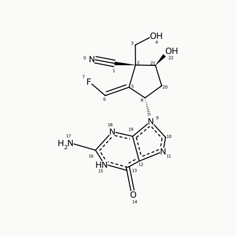 N#C[C@]1(CO)/C(=C\F)[C@@H](n2cnc3c(=O)[nH]c(N)nc32)C[C@@H]1O